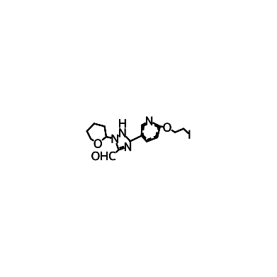 O=CC1=NC(c2ccc(OCCI)nc2)NN1C1CCCCO1